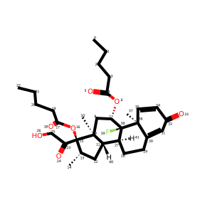 CCCCC(=O)O[C@H]1C[C@@]2(C)[C@@H](C[C@H](C)[C@]2(OC(=O)CCCC)C(=O)CO)[C@@H]2CCC3=CC(=O)C=C[C@]3(C)[C@@]12F